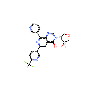 O=c1c2cc(-c3ccc(C(F)(F)F)nc3)nc(-c3cccnc3)c2ncn1[C@H]1COC[C@H]1O